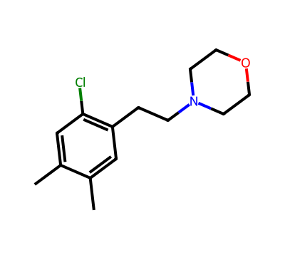 Cc1cc(Cl)c(CCN2CCOCC2)cc1C